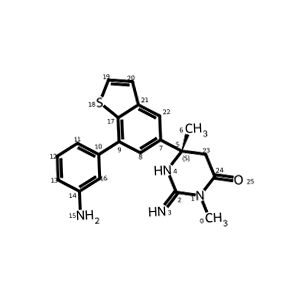 CN1C(=N)N[C@](C)(c2cc(-c3cccc(N)c3)c3sccc3c2)CC1=O